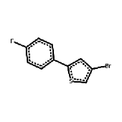 Fc1ccc(-c2cc(Br)cs2)cc1